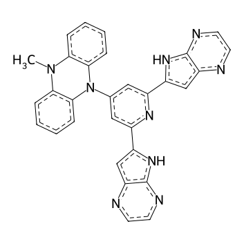 CN1c2ccccc2N(c2cc(-c3cc4nccnc4[nH]3)nc(-c3cc4nccnc4[nH]3)c2)c2ccccc21